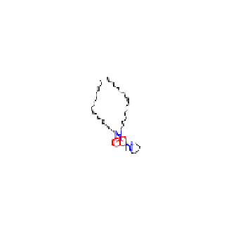 CCCCCCCC/C=C\CCCCCCCCN(CCCCCCCC/C=C\CCCCCCCC)C(=O)OCN1CCCCCC1